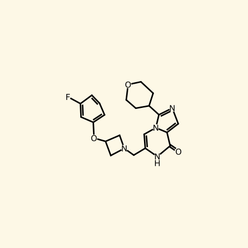 O=c1[nH]c(CN2CC(Oc3cccc(F)c3)C2)cn2c(C3CCOCC3)ncc12